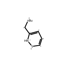 CCCCCC1=CC=CSN1